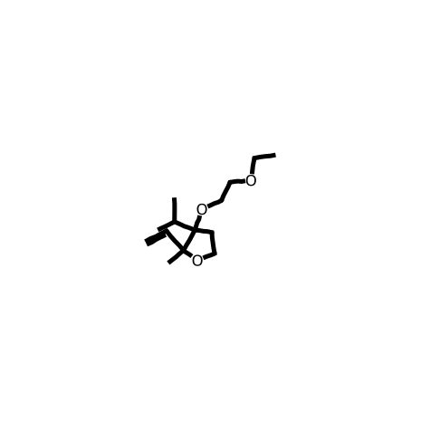 C=CC1(C)OCCC1(OCCOCC)C(C)C